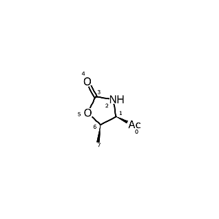 CC(=O)[C@@H]1NC(=O)O[C@@H]1C